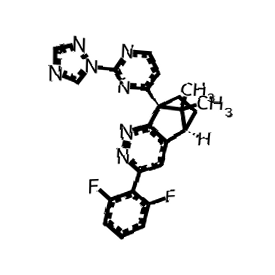 CC1(C)[C@H]2CC[C@@]1(c1ccnc(-n3cncn3)n1)c1nnc(-c3c(F)cccc3F)cc12